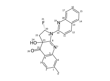 Cc1ccc2c(c1)N=C1N(c3ccc4ccccc4n3)[C@@H](F)CC1(O)C2=O